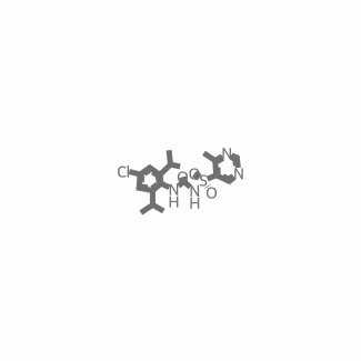 Cc1ncncc1S(=O)(=O)NC(=O)Nc1c(C(C)C)cc(Cl)cc1C(C)C